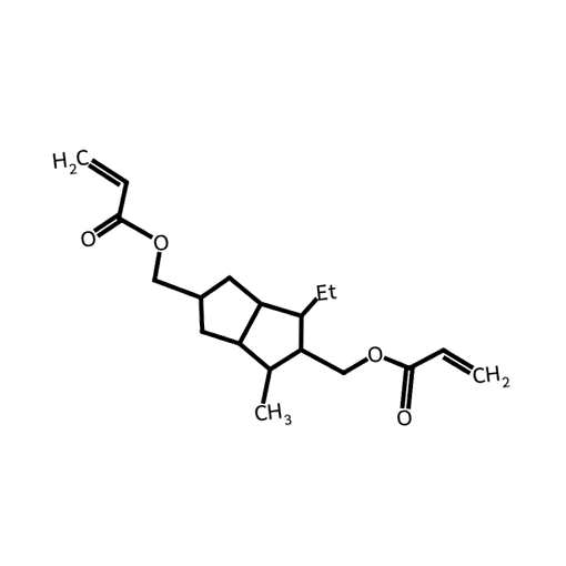 C=CC(=O)OCC1CC2C(C)C(COC(=O)C=C)C(CC)C2C1